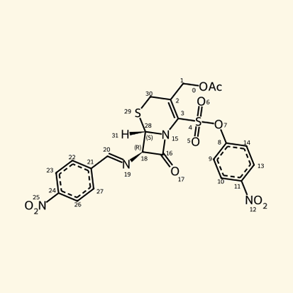 CC(=O)OCC1=C(S(=O)(=O)Oc2ccc([N+](=O)[O-])cc2)N2C(=O)[C@@H](N=Cc3ccc([N+](=O)[O-])cc3)[C@@H]2SC1